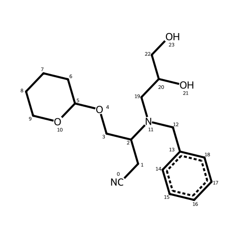 N#CCC(COC1CCCCO1)N(Cc1ccccc1)CC(O)CO